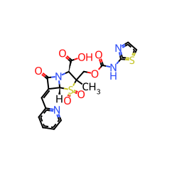 CC1(COC(=O)Nc2nccs2)[C@H](C(=O)O)N2C(=O)/C(=C/c3ccccn3)[C@H]2S1(=O)=O